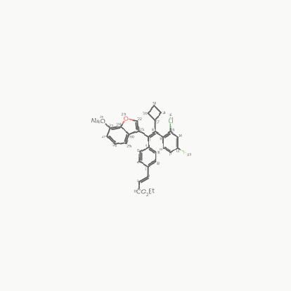 CCOC(=O)/C=C/c1ccc(/C(=C(\c2ccc(F)cc2Cl)C2CCC2)c2coc3c(OC)cccc23)cc1